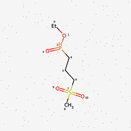 CCO[PH](=O)CCCS(C)(=O)=O